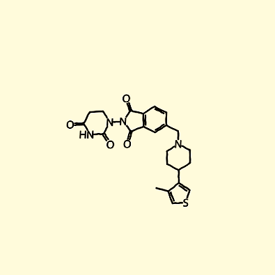 Cc1cscc1C1CCN(Cc2ccc3c(c2)C(=O)N(N2CCC(=O)NC2=O)C3=O)CC1